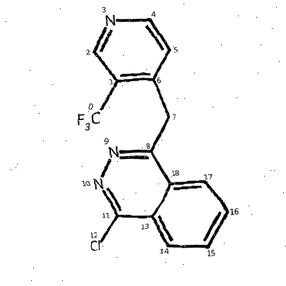 FC(F)(F)c1cnccc1Cc1nnc(Cl)c2ccccc12